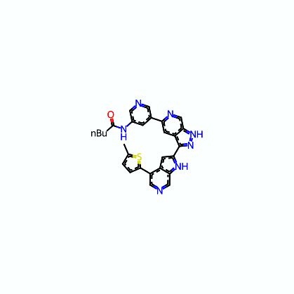 CCCCC(=O)Nc1cncc(-c2cc3c(-c4cc5c(-c6ccc(C)s6)cncc5[nH]4)n[nH]c3cn2)c1